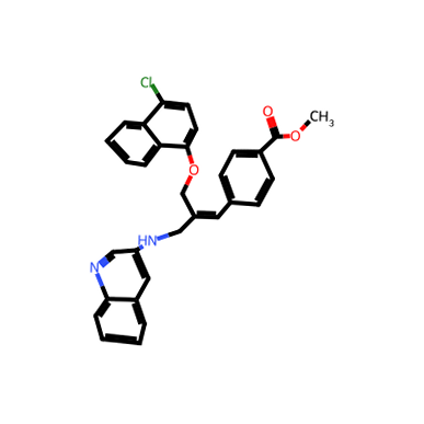 COC(=O)c1ccc(C=C(CNc2cnc3ccccc3c2)COc2ccc(Cl)c3ccccc23)cc1